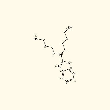 SCCCCN(CCCCS)c1nc2ccccc2s1